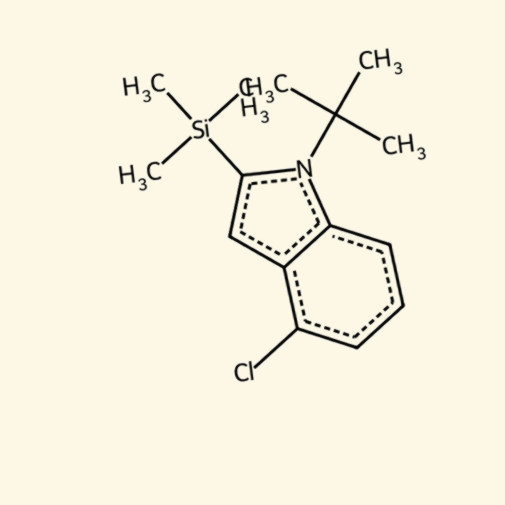 CC(C)(C)n1c([Si](C)(C)C)cc2c(Cl)cccc21